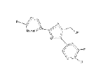 OCc1nc(-c2ccc(F)cc2)oc1-c1ccc(Cl)c(F)c1